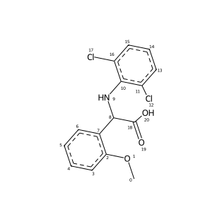 COc1ccccc1C(Nc1c(Cl)cccc1Cl)C(=O)O